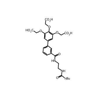 CCCCC(=O)NCCNC(=O)c1cccc(-c2cc(OCC(=O)O)c(OCC(=O)O)c(OCC(=O)O)c2)c1